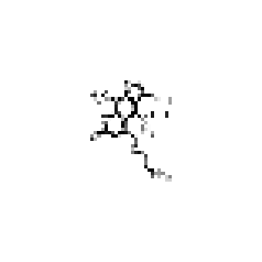 Cc1c2occ(C)c2c(C)c2c(COCCN)cc(=O)oc12.Cl